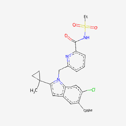 CCS(=O)(=O)NC(=O)c1cccc(Cn2c(C3(C)CC3)cc3cc(OC)c(Cl)cc32)n1